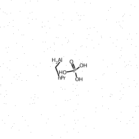 CCC[CH2][AlH2].O=P(O)(O)O